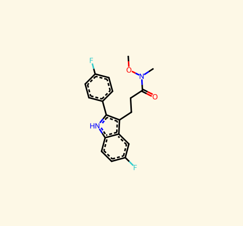 CON(C)C(=O)CCc1c(-c2ccc(F)cc2)[nH]c2ccc(F)cc12